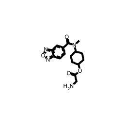 CN(C(=O)c1ccc2nonc2c1)C1CCC(OC(=O)CN)CC1